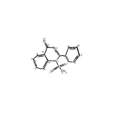 CS(=O)(=O)n1c(-c2ccccc2)nc(=O)c2ccccc21